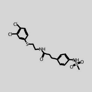 CS(=O)(=O)Nc1ccc(CCC(=O)NCCSc2ccc(Cl)c(Cl)c2)cc1